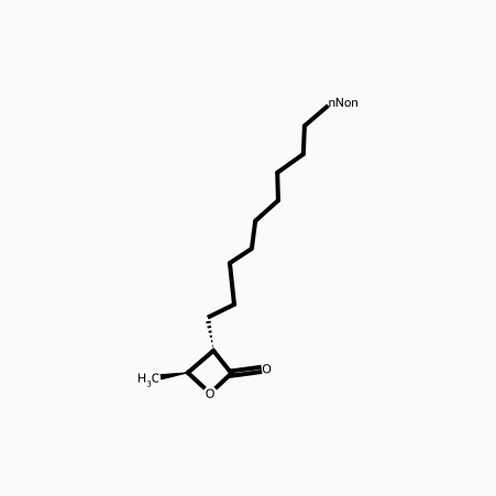 CCCCCCCCCCCCCCCCCC[C@@H]1C(=O)O[C@H]1C